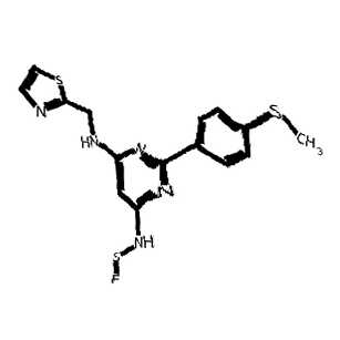 CSc1ccc(-c2nc(NCc3nccs3)cc(NSF)n2)cc1